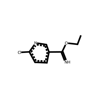 CCOC(=N)c1ccc(Cl)nc1